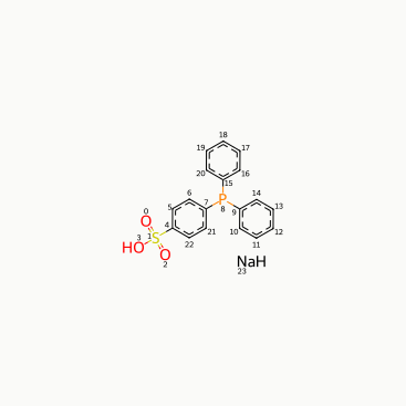 O=S(=O)(O)c1ccc(P(c2ccccc2)c2ccccc2)cc1.[NaH]